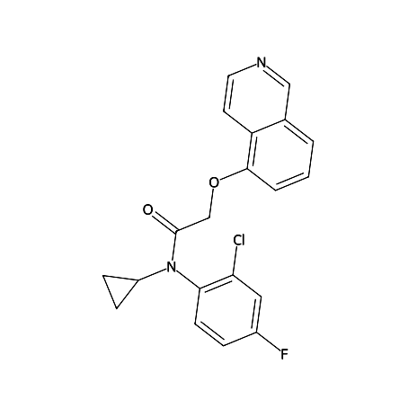 O=C(COc1cccc2cnccc12)N(c1ccc(F)cc1Cl)C1CC1